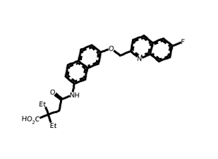 CCC(CC)(CC(=O)Nc1ccc2ccc(OCc3ccc4cc(F)ccc4n3)cc2c1)C(=O)O